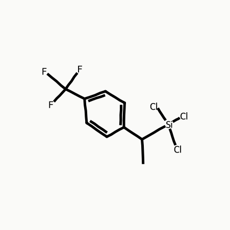 CC(c1ccc(C(F)(F)F)cc1)[Si](Cl)(Cl)Cl